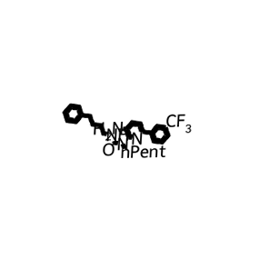 CCCCCN(C(=O)NCCCCc1ccccc1)c1nc(-c2cccc(C(F)(F)F)c2)ccc1N